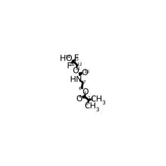 CC(C)C(=O)OCCNC(=O)OCC(O)(F)F